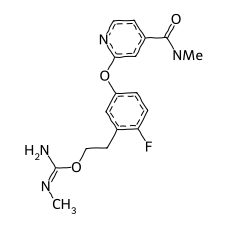 C/N=C(/N)OCCc1cc(Oc2cc(C(=O)NC)ccn2)ccc1F